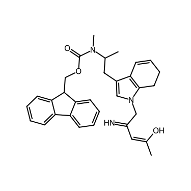 C/C(O)=C/C(=N)Cn1cc(CC(C)N(C)C(=O)OCC2c3ccccc3-c3ccccc32)c2c1CCC=C2